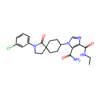 CCNC(=O)c1ncn(C2CCC3(CC2)CCN(c2cccc(Cl)c2)C3=O)c1C(N)=O